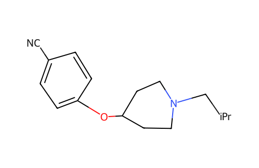 CC(C)CN1CCC(Oc2ccc(C#N)cc2)CC1